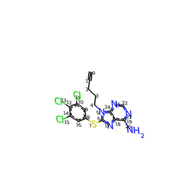 C#CCCCn1c(Sc2cc(Cl)c(Cl)c(Cl)c2)nc2c(N)ncnc21